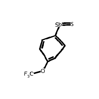 FC(F)(F)Oc1cc[c]([Sb]=[S])cc1